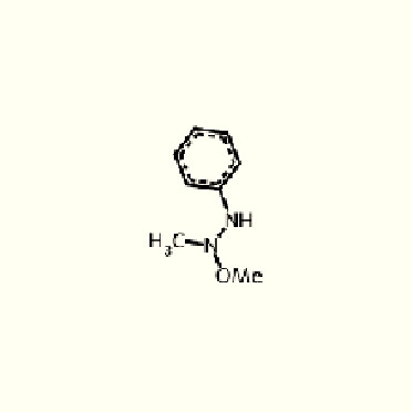 CON(C)Nc1ccccc1